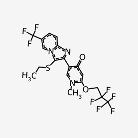 CCSc1c(-c2cn(C)c(OCC(F)(F)C(F)(F)F)cc2=O)nc2ccc(C(F)(F)F)cn12